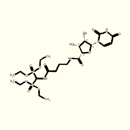 CCOP(=O)(OCC)C(NC(=O)CCCNC(=O)[C@H]1O[C@@H](n2ccc(=O)[nH]c2=O)[C@@H](O)[C@H]1O)P(=O)(OCC)OCC